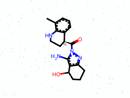 Cc1cccc2c1NCC[C@@H]2C(=O)n1nc2c(c1N)C(O)CCC2